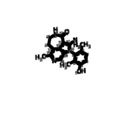 Cc1ccc(O)c(C)c1-n1c(N)c2c3c(c(C)ncc31)CCNC2=O